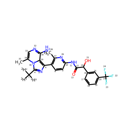 [2H]C([2H])([2H])c1nc(-c2ccc(NC(=O)C(O)c3cccc(C(F)(F)F)c3)nc2C)c2c(N)ncc(C)n12